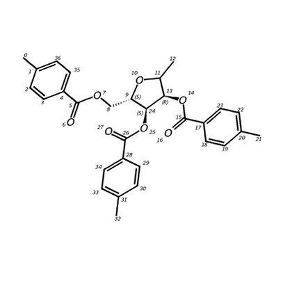 Cc1ccc(C(=O)OC[C@@H]2OC(C)[C@@H](OC(=O)c3ccc(C)cc3)[C@H]2OC(=O)c2ccc(C)cc2)cc1